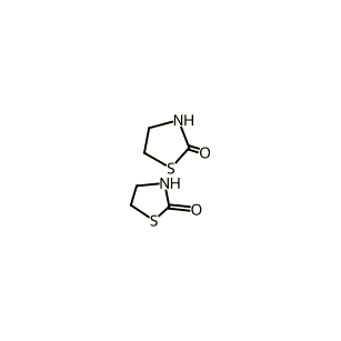 O=C1NCCS1.O=C1NCCS1